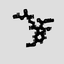 COC(=O)c1c(NCCNC(=O)OC(C)(C)C)c2cc(OC)ccc2[s+]1[O-]